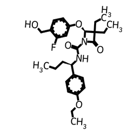 CCC[C@@H](NC(=O)N1C(=O)C(CC)(CC)[C@@H]1Oc1ccc(CO)c(F)c1)c1ccc(OCC)cc1